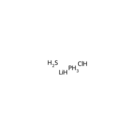 Cl.P.S.[LiH]